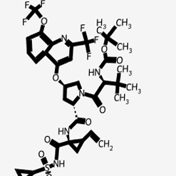 C=CC1C[C@]1(NC(=O)[C@@H]1C[C@@H](Oc2cc(C(F)(F)F)nc3c(OC(F)(F)F)cccc23)CN1C(=O)[C@@H](NC(=O)OC(C)(C)C)C(C)(C)C)C(=O)NS(=O)(=O)C1CC1